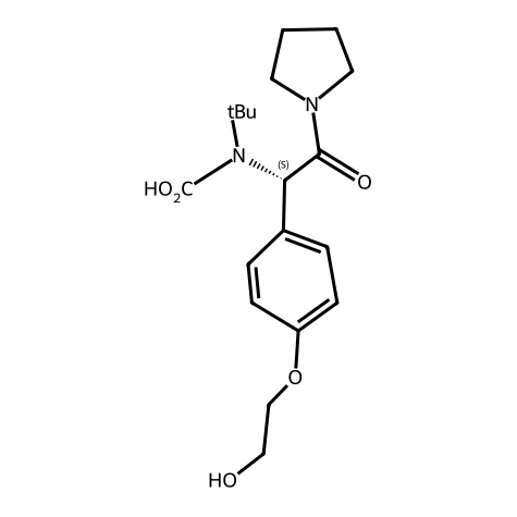 CC(C)(C)N(C(=O)O)[C@H](C(=O)N1CCCC1)c1ccc(OCCO)cc1